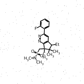 CCC1c2cc(-c3ccccc3F)nnc2C(C)(CS(=O)(=O)N(C)C)C1(C)C